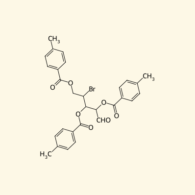 Cc1ccc(C(=O)OCC(Br)C(OC(=O)c2ccc(C)cc2)C(C=O)OC(=O)c2ccc(C)cc2)cc1